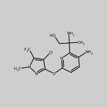 Cn1nc(Oc2ccc(N)c(C(C)(N)CO)n2)c(Cl)c1C(F)(F)F